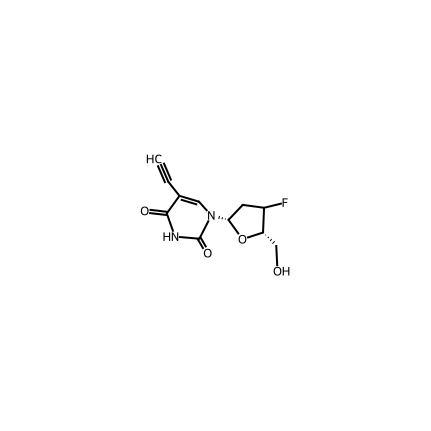 C#Cc1cn([C@@H]2CC(F)[C@H](CO)O2)c(=O)[nH]c1=O